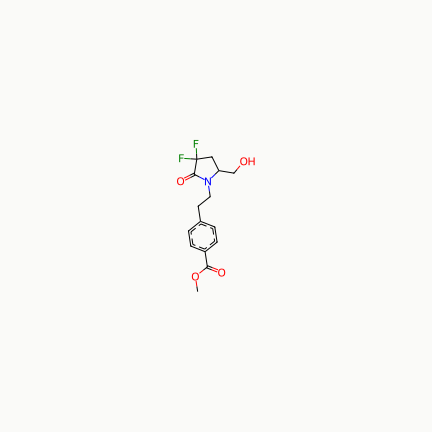 COC(=O)c1ccc(CCN2C(=O)C(F)(F)CC2CO)cc1